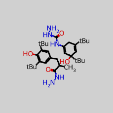 CC(C)(C)C1=CC(O)(C(C)(C)C)C=C(NC(=O)NN)C1.CC(Cc1cc(C(C)(C)C)c(O)c(C(C)(C)C)c1)C(=O)NN